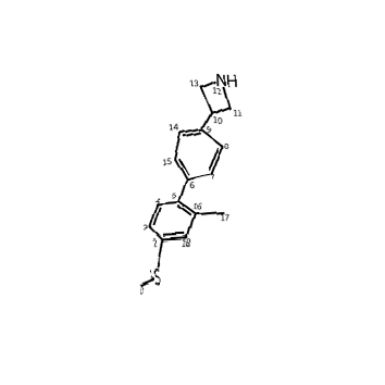 CSc1ccc(-c2ccc(C3CNC3)cc2)c(C)c1